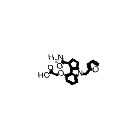 NC(=O)C1CCc2c1c1c(OCC(=O)O)cccc1n2Cc1ccco1